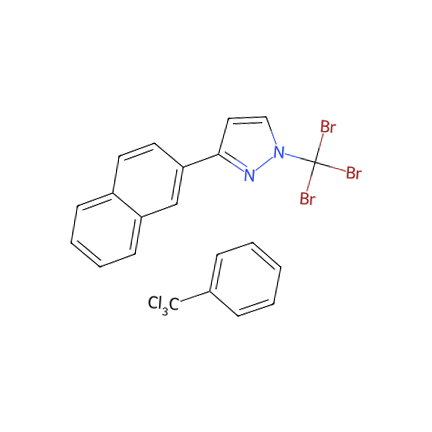 BrC(Br)(Br)n1ccc(-c2ccc3ccccc3c2)n1.ClC(Cl)(Cl)c1ccccc1